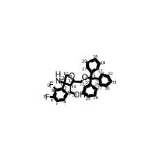 NC1(c2cccc(F)c2F)COC(COC(c2ccccc2)(c2ccccc2)c2ccccc2)[C@H]1CO